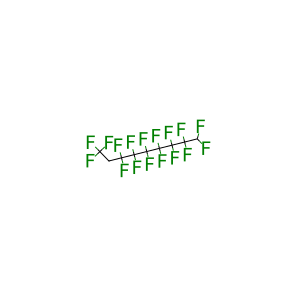 FC(F)C(F)(F)C(F)(F)C(F)(F)C(F)(F)C(F)(F)C(F)(F)CC(F)(F)F